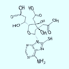 Nc1ncnc2c1nc(S)n2[C@@H]1O[C@H](C(O)CC(=O)O)[C@](O)(CC(=O)O)[C@]1(O)CC(=O)O